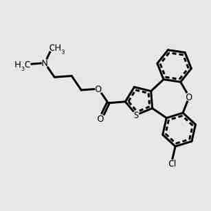 CN(C)CCCOC(=O)c1cc2c(s1)-c1cc(Cl)ccc1Oc1ccccc1-2